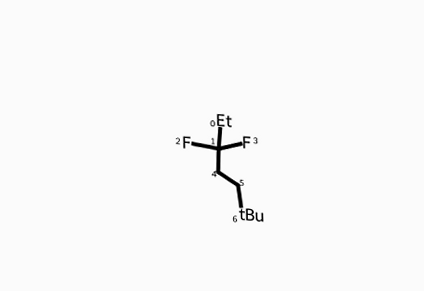 CCC(F)(F)CCC(C)(C)C